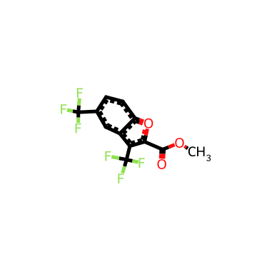 COC(=O)c1oc2ccc(C(F)(F)F)cc2c1C(F)(F)F